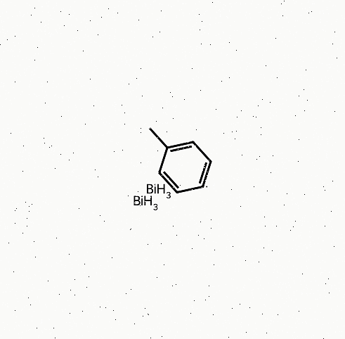 Cc1cc[c]cc1.[BiH3].[BiH3]